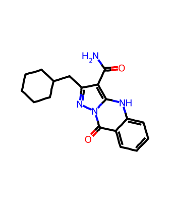 NC(=O)c1c(CC2CCCCC2)nn2c(=O)c3ccccc3[nH]c12